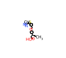 CC#CC(CC(=O)O)c1ccc(OCc2ccc3scc(-c4ncnn4C)c3c2)cc1